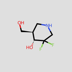 OC[C@H]1CNCC(F)(F)[C@@H]1O